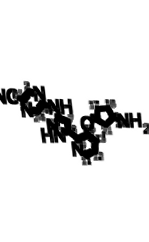 N#Cc1cnc(Nc2cc(-c3ncccc3O[C@H]3CC[C@@H](N)C3)[nH]n2)cn1